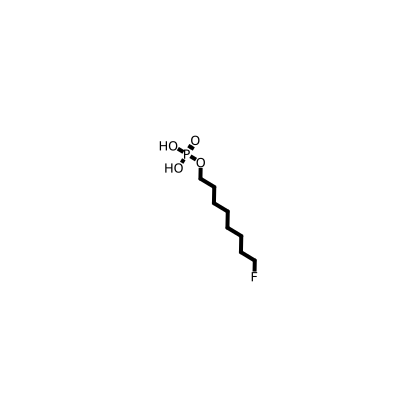 O=P(O)(O)OCCCCCCCCF